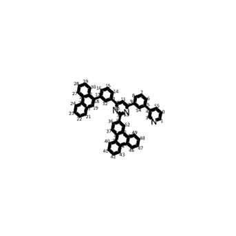 c1cncc(-c2cccc(-c3cc(-c4cccc(-c5cc6ccccc6c6ccccc56)c4)nc(-c4ccc5c6ccccc6c6ccccc6c5c4)n3)c2)c1